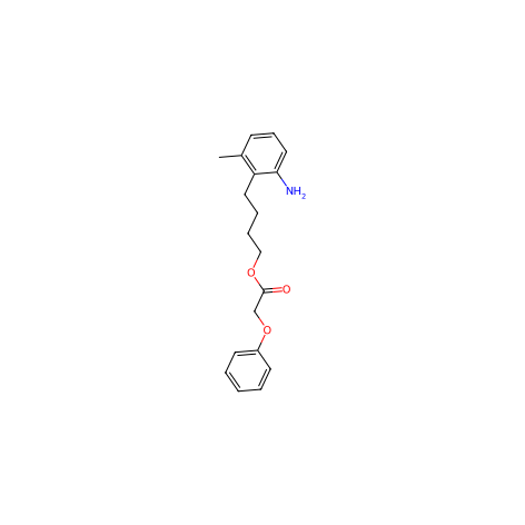 Cc1cccc(N)c1CCCCOC(=O)COc1ccccc1